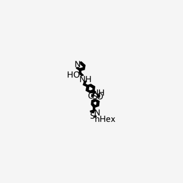 CCCCCCc1nc(-c2ccc(S(=O)(=O)Nc3ccc(CCNCC(O)c4cccnc4)cc3)cc2)cs1